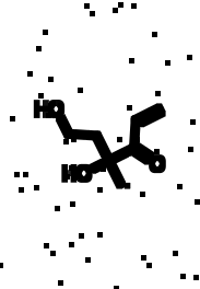 [CH2]C(O)(CCO)C(=O)C=C